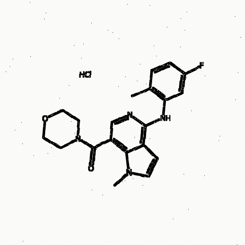 Cc1ccc(F)cc1Nc1ncc(C(=O)N2CCOCC2)c2c1ccn2C.Cl